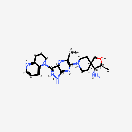 COc1nc2c(N3CCCc4ncccc43)n[nH]c2nc1N1CCC2(CC1)CO[C@@H](C)[C@H]2N